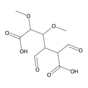 COC(C(=O)O)C(OC)C(C=O)C(C=O)C(=O)O